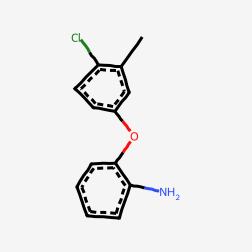 Cc1cc(Oc2ccccc2N)ccc1Cl